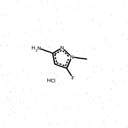 Cl.Cn1nc(N)cc1F